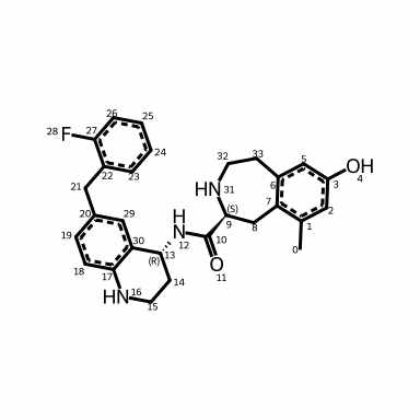 Cc1cc(O)cc2c1C[C@@H](C(=O)N[C@@H]1CCNc3ccc(Cc4ccccc4F)cc31)NCC2